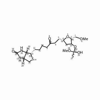 COC[C@H]1O[C@@H](CCC(=O)CCCC[C@@H]2SC[C@@H]3NC(=O)N[C@@H]32)CC1OP(O)(=S)OC